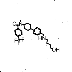 CN(C(=O)c1ccc(C(F)(F)F)cc1)C1CCC(c2ccc(CNCCCCO)cc2)CC1